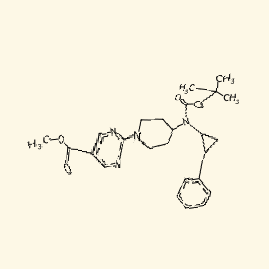 COC(=O)c1cnc(N2CCC(N(C(=O)OC(C)(C)C)C3CC3c3ccccc3)CC2)nc1